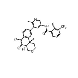 CCN1C(=O)[C@@H]2COCC[C@H]2c2cc(-c3cc(NC(=O)c4cccc(C(F)(F)F)c4F)cnc3C)cnc21